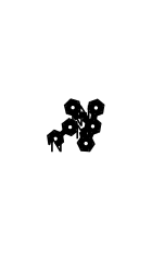 c1cncc(-c2cccc(-n3c4ccccc4c4ccc5c6ccccc6n6c7ccccc7nc6c5c43)c2)c1